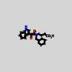 O=C(O)CCCN(CC1CCCCC1)C(=O)C(=O)c1c[nH]c2ccccc12